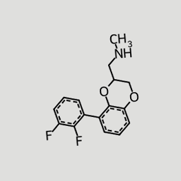 CNCC1COc2cccc(-c3cccc(F)c3F)c2O1